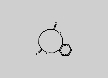 O=C1CCCCC(=O)OCc2ccccc2CO1